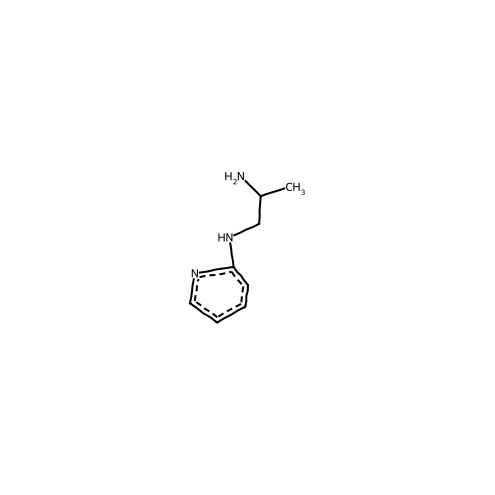 CC(N)CNc1ccccn1